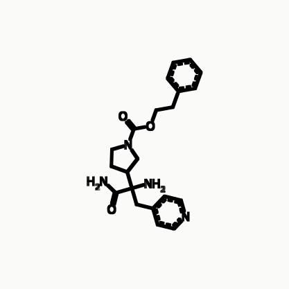 NC(=O)C(N)(Cc1ccncc1)C1CCN(C(=O)OCCc2ccccc2)C1